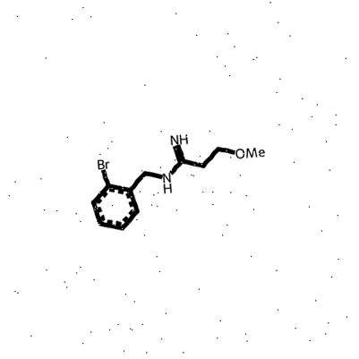 COCCC(=N)NCc1ccccc1Br